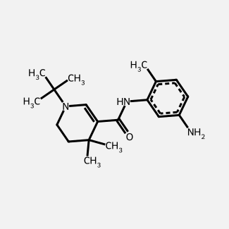 Cc1ccc(N)cc1NC(=O)C1=CN(C(C)(C)C)CCC1(C)C